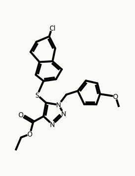 CCOC(=O)c1nnn(Cc2ccc(OC)cc2)c1Sc1ccc2cc(Cl)ccc2c1